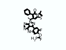 Cc1csc2cc([C@H](C)n3nc(-c4ccc(OC(F)P)c(F)c4)c4c(N)ncnc43)c(-c3ccccc3)c(=O)n12